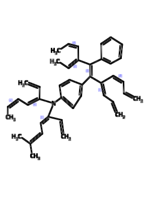 C=C\C=C/C(=C\C=C)C(=C(C(/C=C\C)=C/C)\c1ccccc1)/c1ccc(N(/C(C=C)=C/C=C(C)C)/C(C=C)=C/C=C\C)cc1